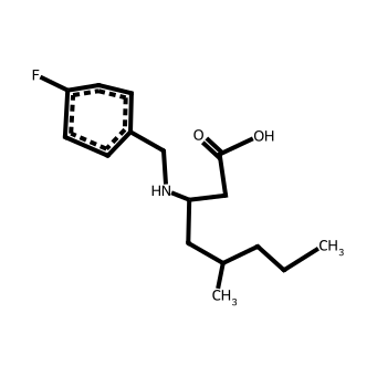 CCCC(C)CC(CC(=O)O)NCc1ccc(F)cc1